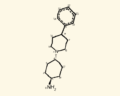 N[C@H]1CC[C@H](N2CCC(c3ccccc3)CC2)CC1